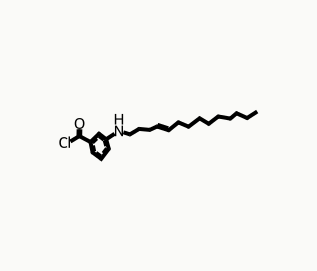 CCCCCCCCC/C=C/CCCNc1cccc(C(=O)Cl)c1